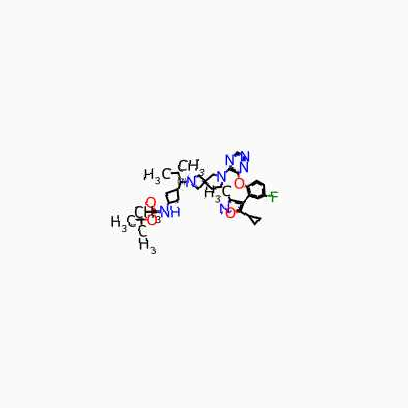 Cc1noc(C2CC2)c1-c1cc(F)ccc1Oc1nncnc1N1CCC2(C1)CN([C@H](C(C)C)C1CC(NC(=O)OC(C)(C)C)C1)C2